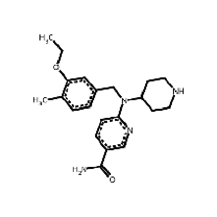 CCOc1cc(CN(c2ccc(C(N)=O)cn2)C2CCNCC2)ccc1C